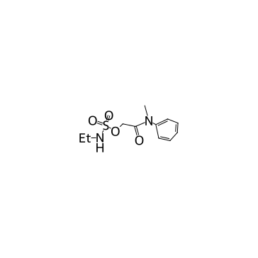 CCNS(=O)(=O)OCC(=O)N(C)c1ccccc1